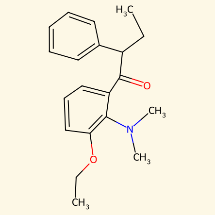 CCOc1cccc(C(=O)C(CC)c2ccccc2)c1N(C)C